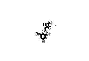 NNC(=O)CCOc1c(Br)cc(Br)cc1Br